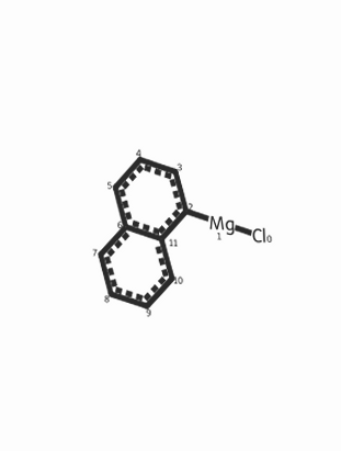 [Cl][Mg][c]1cccc2ccccc12